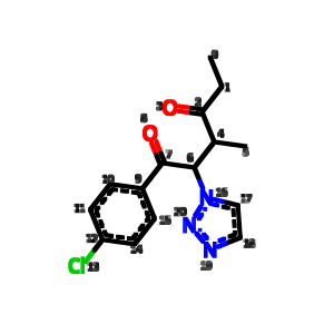 CCC(=O)C(C)C(C(=O)c1ccc(Cl)cc1)n1ccnn1